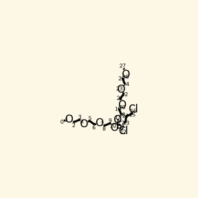 COCCOCCOCCO[Si](Cl)(CCCCl)OCCOCCOCCOC